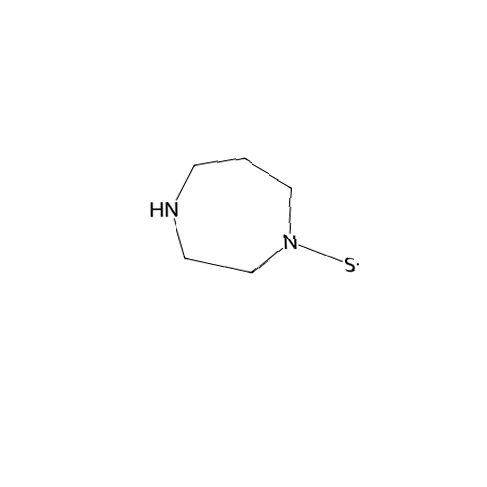 [S]N1CCCNCC1